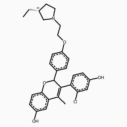 CC[C@@H]1CCN(CCOc2ccc(C3Oc4ccc(O)cc4C(C)=C3c3ccc(O)cc3Cl)cc2)C1